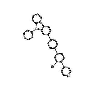 Brc1cc(-c2ccc(-c3ccc4c5ccccc5n(-c5ccccc5)c4c3)cc2)ccc1-c1ccncc1